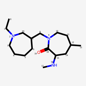 CCN1CCCCC(CN2CCC(C)CC(NC)C2=O)C1